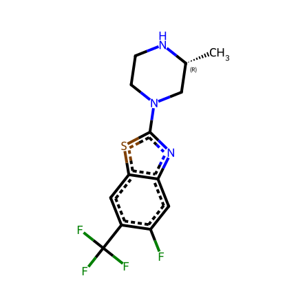 C[C@@H]1CN(c2nc3cc(F)c(C(F)(F)F)cc3s2)CCN1